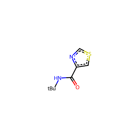 CC(C)(C)NC(=O)c1cscn1